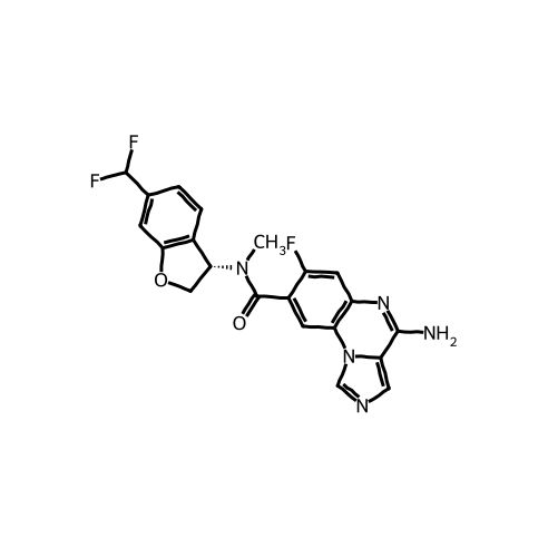 CN(C(=O)c1cc2c(cc1F)nc(N)c1cncn12)[C@@H]1COc2cc(C(F)F)ccc21